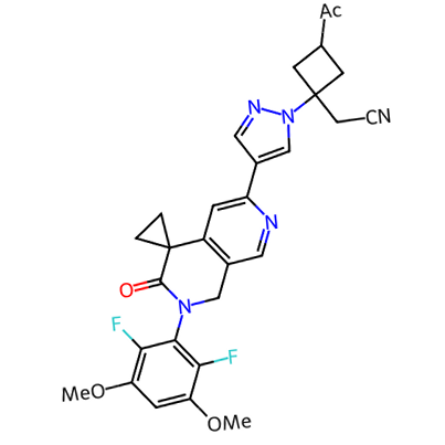 COc1cc(OC)c(F)c(N2Cc3cnc(-c4cnn(C5(CC#N)CC(C(C)=O)C5)c4)cc3C3(CC3)C2=O)c1F